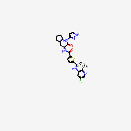 Cc1ncc(Cl)cc1N[C@@H](C)c1ccc(C(=O)N[C@@H](CC2CCCC2)C(=O)Nc2cc[nH]n2)s1